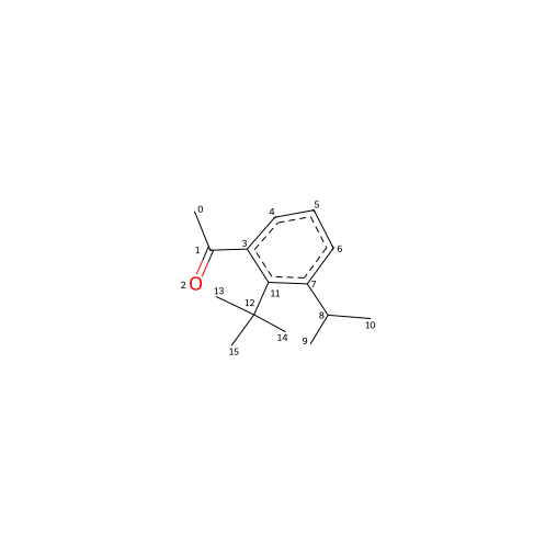 CC(=O)c1cccc(C(C)C)c1C(C)(C)C